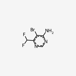 Nc1ncnc(C(F)F)c1Br